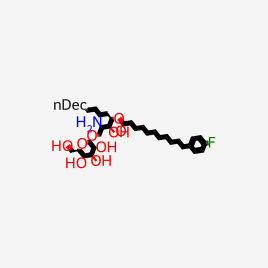 CCCCCCCCCCCCCC[C@@H](OC(=O)CCCCCCCCCCc1ccc(F)cc1)[C@@H](O)[C@@H](N)CO[C@H]1O[C@H](CO)[C@H](O)[C@H](O)[C@H]1O